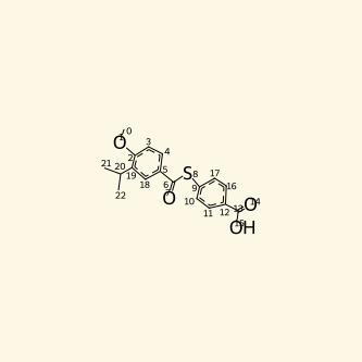 COc1ccc(C(=O)Sc2ccc(C(=O)O)cc2)cc1C(C)C